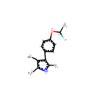 N#Cc1c(C(F)(F)F)[nH]c(C(F)(F)F)c1-c1ccc(OC(F)C(F)(F)F)cc1